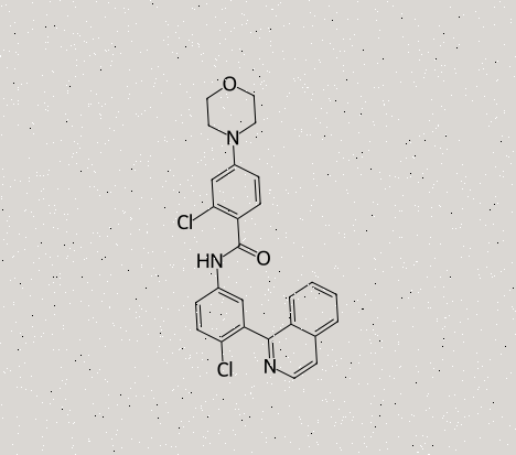 O=C(Nc1ccc(Cl)c(-c2nccc3ccccc23)c1)c1ccc(N2CCOCC2)cc1Cl